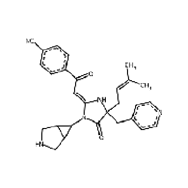 CC(C)=CCC1(Cc2ccncc2)N/C(=C\C(=O)c2ccc(C#N)cc2)N(C2C3CNCC32)C1=O